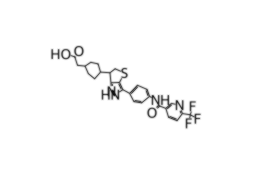 O=C(O)CC1CCC(C2CSc3c2n[nH]c3-c2ccc(NC(=O)c3ccc(C(F)(F)F)nc3)cc2)CC1